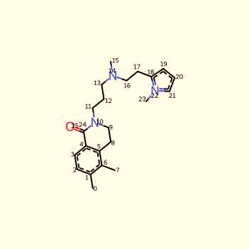 Cc1ccc2c(c1C)CCN(CCCN(C)CCc1cccn1C)C2=O